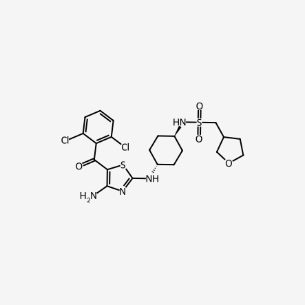 Nc1nc(N[C@H]2CC[C@H](NS(=O)(=O)CC3CCOC3)CC2)sc1C(=O)c1c(Cl)cccc1Cl